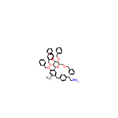 Cc1cc(OCc2ccccc2)c([C@@H]2O[C@H](COCc3ccccc3)[C@@H](OCc3ccccc3)[C@H](OCc3ccccc3)[C@H]2OCc2ccccc2)cc1Cc1ccc(CCN)cc1